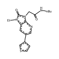 CCCCNC(=O)Cn1c(=O)n(CC)c2cc(-c3ccsc3)cnc21